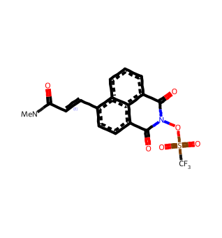 CNC(=O)/C=C/c1ccc2c3c(cccc13)C(=O)N(OS(=O)(=O)C(F)(F)F)C2=O